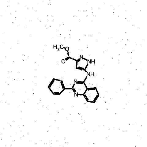 COC(=O)c1cc(Nc2nc(-c3ccccc3)nc3ccccc23)[nH]n1